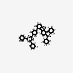 c1ccc(-c2nc(-c3ccccc3)nc(-c3ccc(-c4cccc5oc6c(ccc7c(-c8ccccc8)nc8ccccc8c76)c45)cc3)n2)cc1